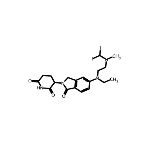 CCN(CCN(C)C(I)I)c1ccc2c(c1)CN(C1CCC(=O)NC1=O)C2=O